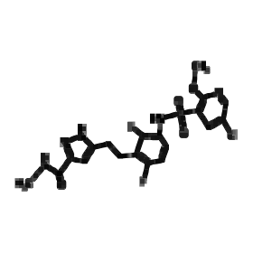 CNC(=O)c1cc(CCc2c(F)ccc(NS(=O)(=O)c3cc(Cl)cnc3OC)c2F)[nH]n1